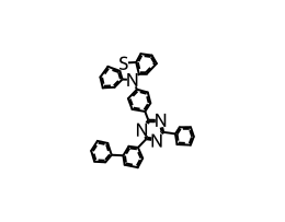 c1ccc(-c2cccc(-c3nc(-c4ccccc4)nc(-c4ccc(N5c6ccccc6Sc6ccccc65)cc4)n3)c2)cc1